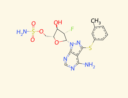 Cc1cccc(Sc2nn([C@@H]3O[C@H](COS(N)(=O)=O)[C@@H](O)[C@@H]3F)c3ncnc(N)c23)c1